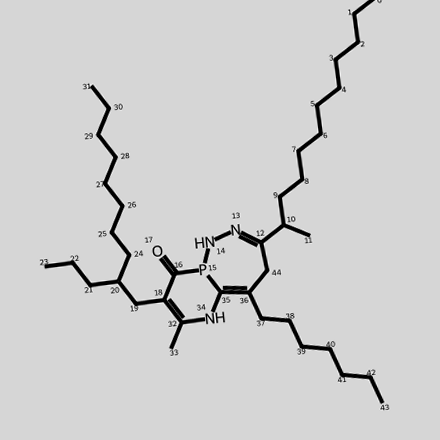 CCCCCCCCCCC(C)C1=NNP2C(=O)C(CC(CCC)CCCCCCCC)=C(C)NC2=C(CCCCCCC)C1